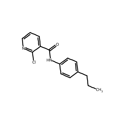 CCCc1ccc(NC(=O)c2cccnc2Cl)cc1